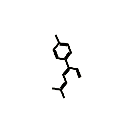 C=C/C(=C\C=C(C)C)c1ccc(C)cc1